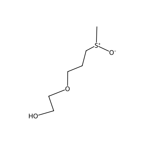 C[S+]([O-])CCCOCCO